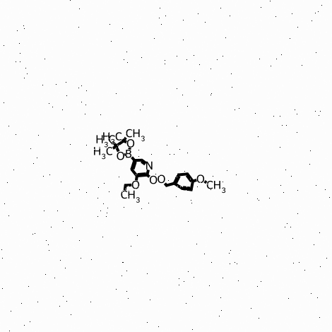 CCOc1cc(B2OC(C)(C)C(C)(C)O2)cnc1OOCc1ccc(OC)cc1